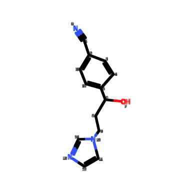 N#Cc1ccc(C(O)CCn2ccnc2)cc1